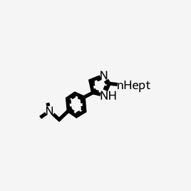 CCCCCCCc1ncc(-c2ccc(CN(C)C)cc2)[nH]1